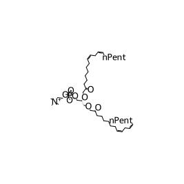 CCCCC/C=C\C/C=C\CCCCCCC(=O)COC[C@H](COP(=O)([O-])OCC[N+](C)(C)C)OCC(=O)CCCCCC/C=C\C/C=C\CCCCC